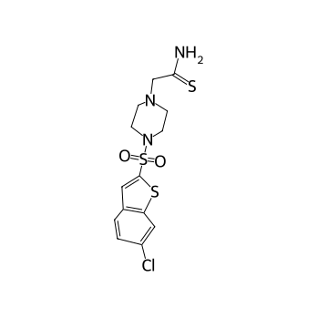 NC(=S)CN1CCN(S(=O)(=O)c2cc3ccc(Cl)cc3s2)CC1